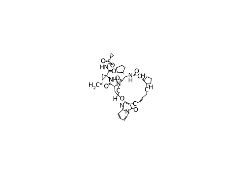 C=C[C@@H]1C[C@]1(NC(=O)[C@@H]1C[C@@H]2CN1C(=O)[C@H](C1CCCC1)NC(=O)O[C@@H]1CCC[C@H]1CC/C=C/Cc1c(nc3ccccn3c1=O)O2)C(=O)NS(=O)(=O)C1CC1